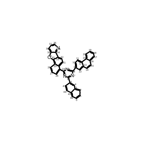 c1ccc2cc(-c3nc(-c4ccc5c(ccc6ccccc65)c4)nc(-c4cccc5c4ccc4c6ncccc6oc54)n3)ccc2c1